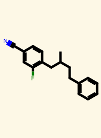 CC(CCc1ccccc1)Cc1ccc(C#N)cc1F